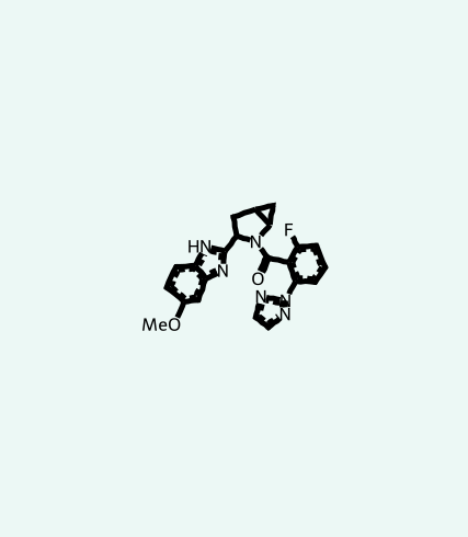 COc1ccc2[nH]c(C3CC4CC4N3C(=O)c3c(F)cccc3-n3nccn3)nc2c1